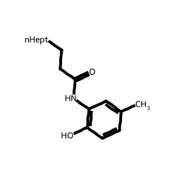 CCCCCCCCCC(=O)Nc1cc(C)ccc1O